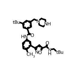 Cc1ccc(NC(=O)c2cc(CN3CCNCC3)cc(C(C)(C)C)c2)cc1-c1cc(C(=O)NCC(C)(C)C)on1